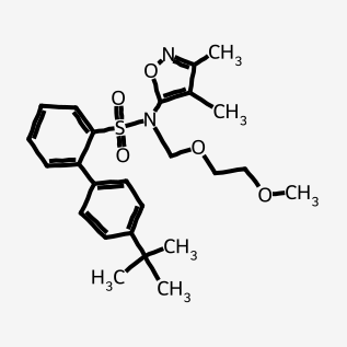 COCCOCN(c1onc(C)c1C)S(=O)(=O)c1ccccc1-c1ccc(C(C)(C)C)cc1